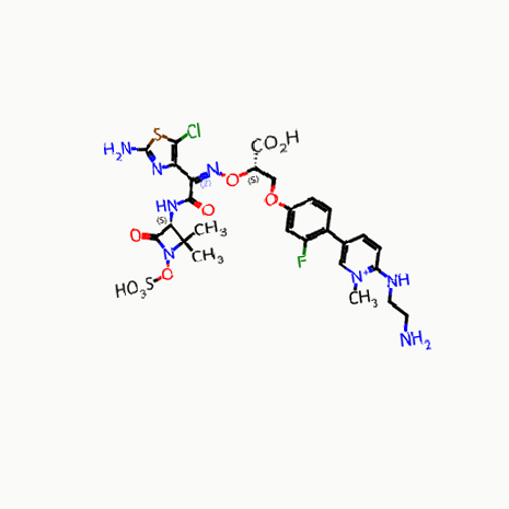 C[n+]1cc(-c2ccc(OC[C@H](O/N=C(\C(=O)N[C@@H]3C(=O)N(OS(=O)(=O)O)C3(C)C)c3nc(N)sc3Cl)C(=O)O)cc2F)ccc1NCCN